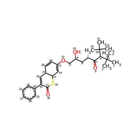 CC(C)(C)C(C(=O)CCC(O)COC1=CC2SC(=O)C(c3ccccc3)=CC2C=C1)C(C)(C)C